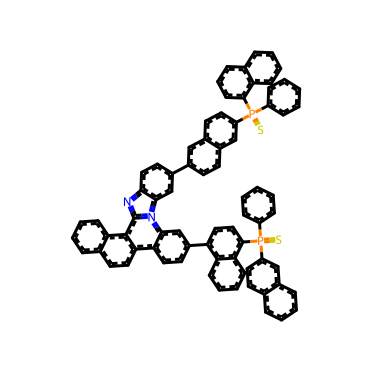 S=P(c1ccccc1)(c1ccc2cc(-c3ccc4nc5c6c7ccccc7ccc6c6ccc(-c7ccc(P(=S)(c8ccccc8)c8ccc9ccccc9c8)c8ccccc78)cc6n5c4c3)ccc2c1)c1cccc2ccccc12